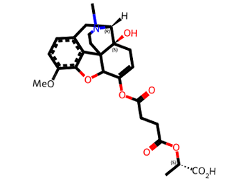 COc1ccc2c3c1OC1C(OC(=O)CCC(=O)O[C@@H](C)C(=O)O)=CC[C@@]4(O)[C@@H](C2)N(C)CCC314